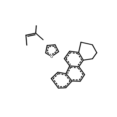 CC=C(C)C.c1ccc2c(c1)ccc1c3c(ccc12)CCCC3.c1ccoc1